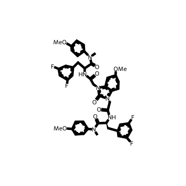 COc1ccc(N(C)C(=O)C(Cc2cc(F)cc(F)c2)NC(=O)Cn2c(=O)n(CC(=O)N[C@@H](Cc3cc(F)cc(F)c3)C(=O)N(C)c3ccc(OC)cc3)c3ccc(OC)cc32)cc1